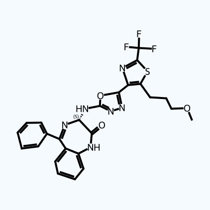 COCCCc1sc(C(F)(F)F)nc1-c1nnc(N[C@H]2N=C(c3ccccc3)c3ccccc3NC2=O)o1